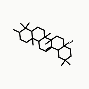 CC1CCC2(C)C(CCC3(C)C2CC=C2C4CC(C)(C)CCC4(S)CCC23C)C1(C)C